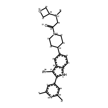 Cc1cc(-c2[nH]c3ccc(C4CCN(C(=O)CN(C)C5COC5)CC4)cc3c2C(C)C)cc(C)n1